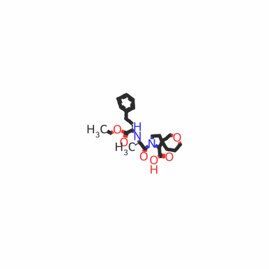 CCOC(=O)[C@H](CCc1ccccc1)N[C@@H](C)C(=O)N1CCC2(CCCOC2)C1C(=O)O